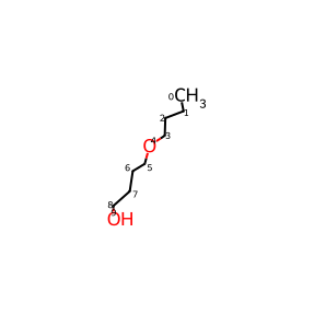 CCCCOCCCCO